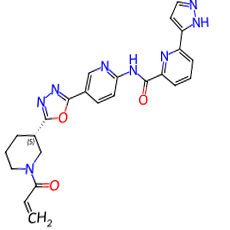 C=CC(=O)N1CCC[C@H](c2nnc(-c3ccc(NC(=O)c4cccc(-c5ccn[nH]5)n4)nc3)o2)C1